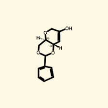 OC1=C[C@@H]2OC(c3ccccc3)OC[C@H]2OC1